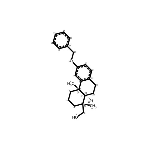 C[C@@]1(CO)CCC[C@]2(C)c3cc(OCc4ccccc4)ccc3CC[C@@H]12